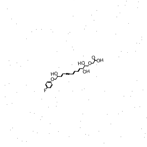 O=C(O)COC[C@H](O)[C@H](O)C=CC=CC#CC=C[C@H](O)COc1ccc(F)cc1